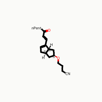 CCCCCC(=O)C=CC1=CC[C@@H]2C[C@H](OCCCC#N)C[C@@H]12